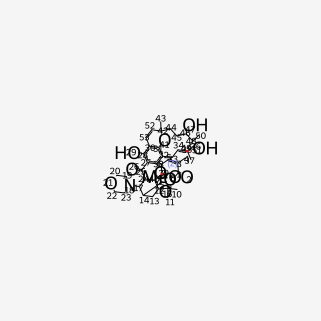 COC(=O)/C(C)=C\CC12OC(C)(C)C3CC(C1=O)C(N1CCOCC1)C1C(=O)c4c(O)c5c(c(CC=C(C)C)c4OC132)OC(C)(CCC(O)C(C)(C)O)C=C5